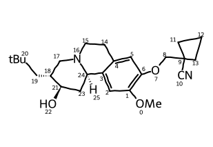 COc1cc2c(cc1OCC1(C#N)CCC1)CCN1C[C@@H](CC(C)(C)C)[C@H](O)C[C@H]21